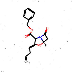 C=CC/C=C1\O[C@@H]2CC(=O)N2C1C(=O)OCc1ccccc1